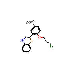 COc1ccc(OCCCCl)c(C2CNc3ccccc3S2)c1